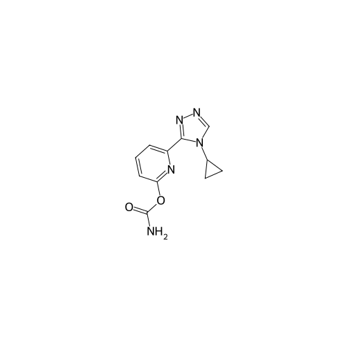 NC(=O)Oc1cccc(-c2nncn2C2CC2)n1